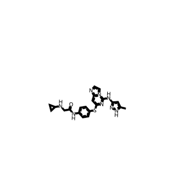 Cc1cc(Nc2nc(Sc3ccc(NC(=O)CNC4CC4)cc3)cc3nccn23)n[nH]1